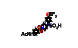 CC(=O)Nc1ccc(S(=O)(=O)N2CCC(N(c3ccc(OC(F)(F)F)cc3)S(=O)(=O)O)CC2)cc1